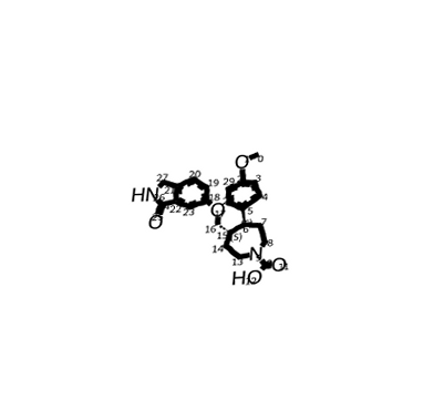 COc1ccc([C@H]2CCN(C(=O)O)CC[C@@H]2COc2ccc3c(c2)C(=O)NC3)cc1